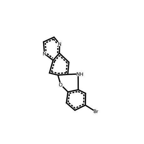 Brc1ccc2c(c1)Nc1cc3nccnc3cc1O2